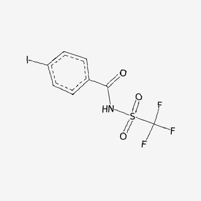 O=C(NS(=O)(=O)C(F)(F)F)c1ccc(I)cc1